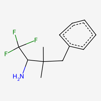 CC(C)(Cc1ccccc1)C(N)C(F)(F)F